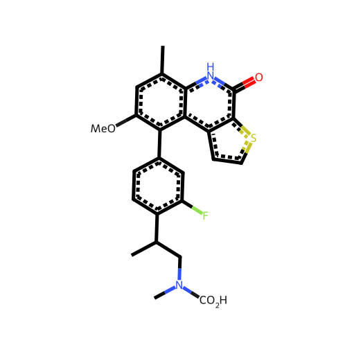 COc1cc(C)c2[nH]c(=O)c3sccc3c2c1-c1ccc(C(C)CN(C)C(=O)O)c(F)c1